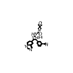 N#Cc1cccc(C2=C(c3ccc4ncncc4c3)SC(NC(=O)N3CC4(COC4)C3)N2)c1